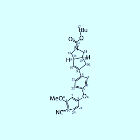 COc1cc(Oc2ccc(C3=C[C@H]4CN(C(=O)OC(C)(C)C)C[C@H]4C3)cc2)ccc1C#N